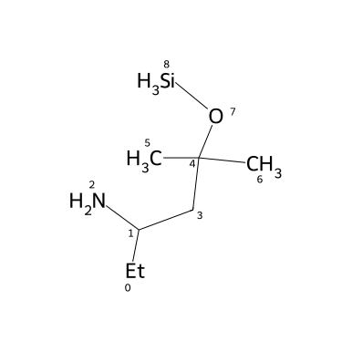 CCC(N)CC(C)(C)O[SiH3]